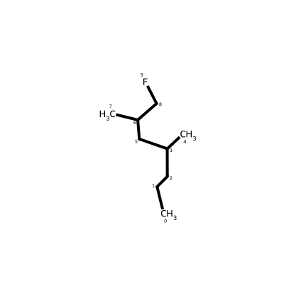 CCCC(C)CC(C)CF